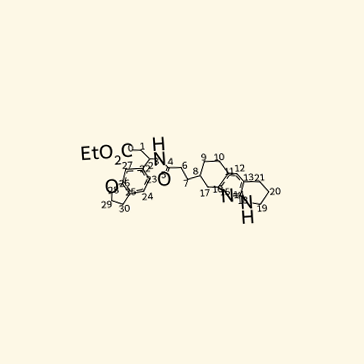 CCOC(=O)CC(NC(=O)CCC1CCc2cc3c(nc2C1)NCCC3)c1ccc2c(c1)OCC2